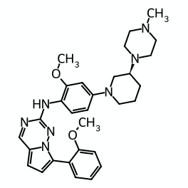 COc1cc(N2CCC[C@H](N3CCN(C)CC3)C2)ccc1Nc1ncc2ccc(-c3ccccc3OC)n2n1